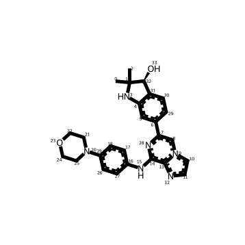 CC1(C)Nc2cc(-c3cn4ccnc4c(Nc4ccc(N5CCOCC5)cc4)n3)ccc2[C@@H]1O